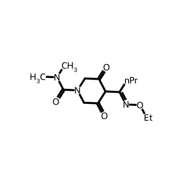 CCC/C(=N\OCC)C1C(=O)CN(C(=O)N(C)C)CC1=O